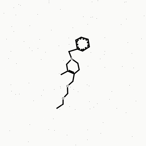 CCOCOCC1=C(C)CN(Cc2ccccc2)CC1